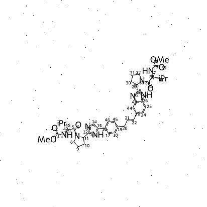 COC(=O)N[C@H](C(=O)N1CCCC1c1ncc(-c2ccc(CC=Cc3ccc4[nH]c([C@@H]5CCCN5C(=O)[C@@H](NC(=O)OC)C(C)C)nc4c3)cc2)[nH]1)C(C)C